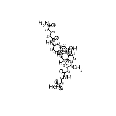 C[C@H](CCC(=O)NCCS(=O)(=O)O)[C@H]1CC[C@H]2C3[C@@H](O)CC4C[C@H](NC(=O)CCCC(N)=O)CC[C@]4(C)[C@H]3CC[C@]12C